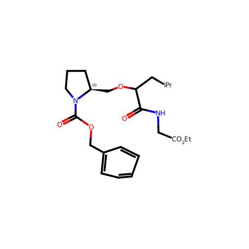 CCOC(=O)CNC(=O)C(CC(C)C)OC[C@@H]1CCCN1C(=O)OCc1ccccc1